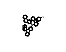 CCC1CC2CCCC(C1)C21c2ccccc2-c2c(N(c3ccc4c(c3)C3(c5ccccc5-4)C4CC5CC(C4)CC3C5)c3ccc4c(ccc5ccccc54)c3)cccc21